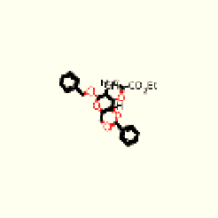 CCOC(=O)[C@H](C)O[C@@H]1C(C)[C@@H](OCc2ccccc2)OC2COC(c3ccccc3)O[C@H]21